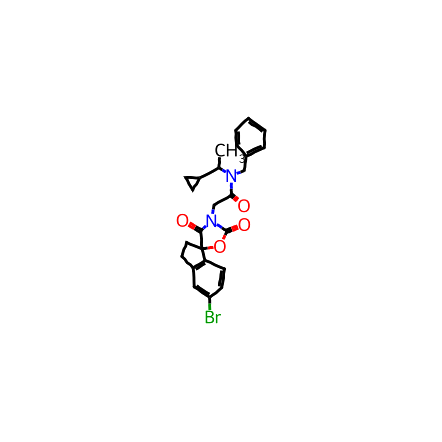 CC(C1CC1)N(Cc1ccccc1)C(=O)CN1C(=O)OC2(CCc3cc(Br)ccc32)C1=O